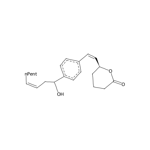 CCCCC/C=C\CC(O)c1ccc(/C=C\[C@@H]2CCCC(=O)O2)cc1